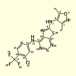 Cc1noc(C)c1Nc1nc2c(Nc3ccc(C(F)(F)F)c(Cl)c3)ncnc2s1